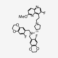 COc1ccc2ncc(F)c(CCN3CC[C@H](CN(Cc4cc5c(cc4F)OCCO5)Cc4cc5c(cc4F)OCCO5)C3)c2n1